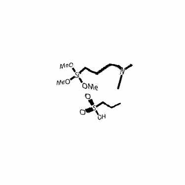 CCCS(=O)(=O)O.CO[Si](CCCN(C)C)(OC)OC